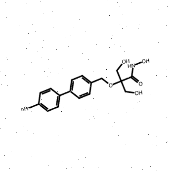 CCCc1ccc(-c2ccc(COC(CO)(CO)C(=O)NO)cc2)cc1